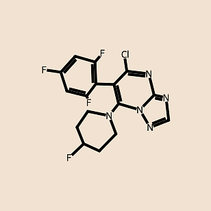 Fc1cc(F)c(-c2c(Cl)nc3ncnn3c2N2CCC(F)CC2)c(F)c1